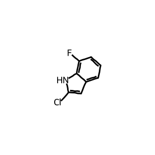 Fc1cccc2cc(Cl)[nH]c12